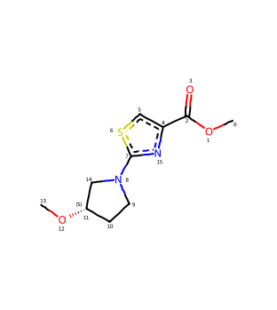 COC(=O)c1csc(N2CC[C@H](OC)C2)n1